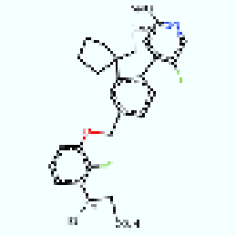 CC[C@@H](CC(=O)O)c1cccc(OCc2ccc(-c3cc(OC)ncc3F)c(C3(COC)CCCC3)c2)c1F